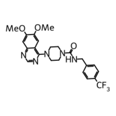 COc1cc2ncnc(N3CCN(C(=O)NCc4ccc(C(F)(F)F)cc4)CC3)c2cc1OC